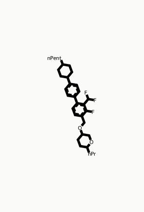 CCCCCC1CCC(c2ccc(-c3ccc(COC4CCC(CCC)OC4)c(F)c3C(F)F)cc2)CC1